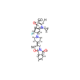 N#CC(CN1C(=O)c2ccccc2C1=O)=C1CCN(c2cc3c(cc2F)c(=O)c(C(=O)O)cn3C2CC2)CC1